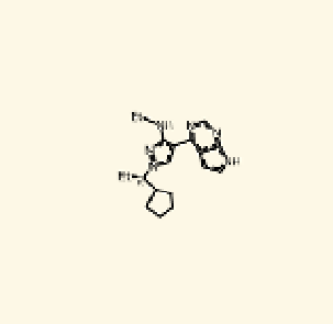 CCNc1nn([C@H](CC)C2CCCC2)cc1-c1ncnc2[nH]ccc12